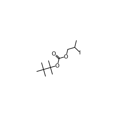 CC(I)COC(=O)OC(C)(C)C(C)(C)C